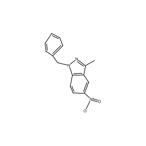 Cc1nn(Cc2ccccc2)c2ccc([N+](=O)[O-])cc12